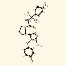 Cc1nnc([C@H]2CCCN2C(=O)NC(C)(C)c2ccc(C(F)(F)F)cc2)n1Cc1ccc(Cl)cc1